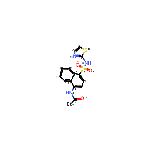 CCC(=O)Nc1ccc(S(=O)(=O)Nc2nccs2)c2ccccc12